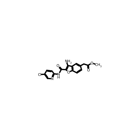 COC(=O)Cc1ccc2oc(C(=O)Nc3ccc(Cl)cn3)c(N)c2c1